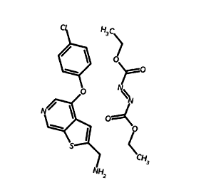 CCOC(=O)N=NC(=O)OCC.NCc1cc2c(Oc3ccc(Cl)cc3)cncc2s1